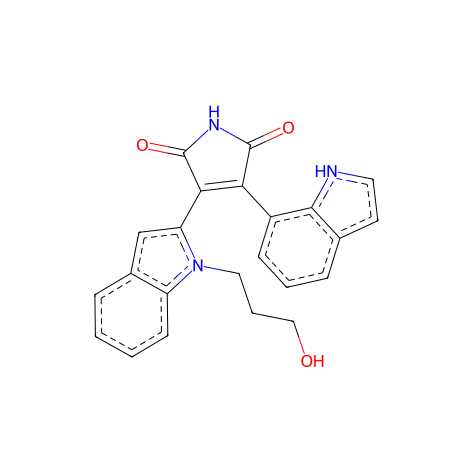 O=C1NC(=O)C(c2cc3ccccc3n2CCCO)=C1c1cccc2cc[nH]c12